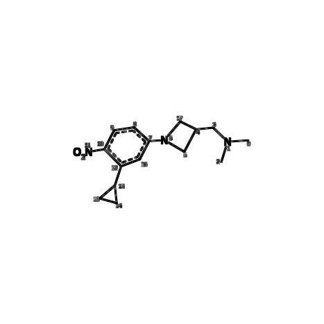 CN(C)CC1CN(c2ccc([N+](=O)[O-])c(C3CC3)c2)C1